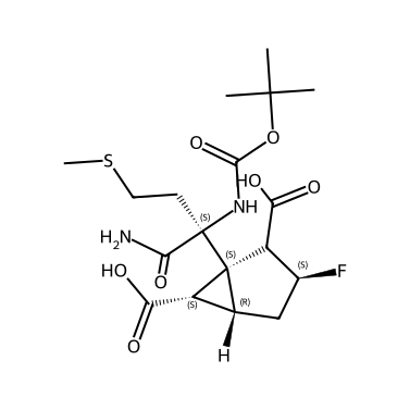 CSCC[C@@](NC(=O)OC(C)(C)C)(C(N)=O)[C@@]12C(C(=O)O)[C@@H](F)C[C@@H]1[C@@H]2C(=O)O